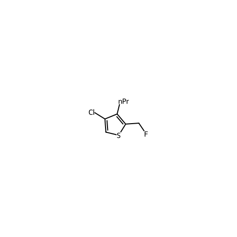 CCCc1c(Cl)csc1CF